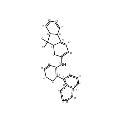 CC1(C)C2CC(NC3=C(c4cccc5ccccc45)CCC=C3)=CC=C2C2C=CC=CC21